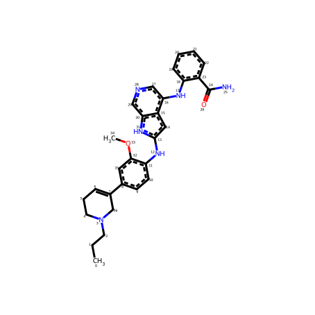 CCCN1CCC=C(c2ccc(Nc3cc4c(Nc5ccccc5C(N)=O)cncc4[nH]3)c(OC)c2)C1